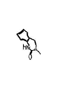 CN1C=Cc2ccccc2NC1=O